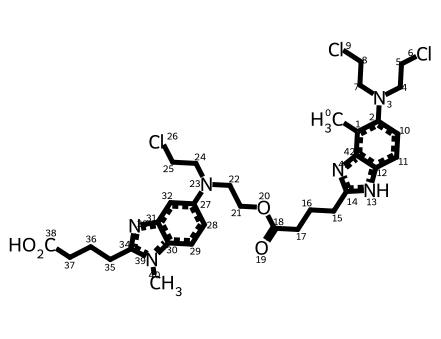 Cc1c(N(CCCl)CCCl)ccc2[nH]c(CCCC(=O)OCCN(CCCl)c3ccc4c(c3)nc(CCCC(=O)O)n4C)nc12